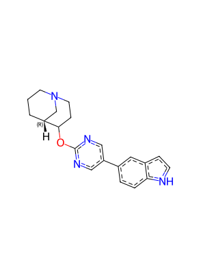 c1cc2cc(-c3cnc(OC4CCN5CCC[C@@H]4C5)nc3)ccc2[nH]1